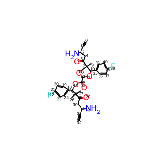 C#CC(N)CC(=O)C(C)(C)C(OC(=O)C(=O)OC(c1ccc(F)cc1)C(C)(C)C(=O)CC(N)C#C)c1ccc(F)cc1